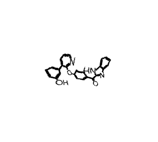 O=C(c1ccc(Oc2ncccc2-c2cccc(O)c2)cc1)c1nc2ccccc2[nH]1